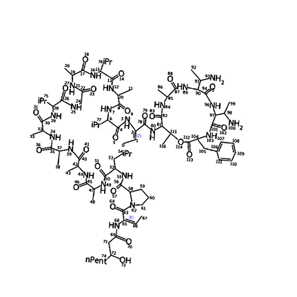 C/C=C(\NC(=O)C(NC(=O)C(C)NC(=O)C(NC(=O)C(C)NC(=O)CNC(=O)C(NC(=O)C(C)NC(=O)C(C)NC(=O)C(C)NC(=O)C(C)NC(=O)C(CC(C)C)NC(=O)C1CCCN1C(=O)/C(=C\C)NC(=O)CC(O)CCCCC)C(C)C)C(C)C)C(C)C)C(=O)NC1C(=O)NC(C)C(=O)NC(C(C)N)C(=O)NC(C(C)N)C(=O)NC(Cc2ccccc2)C(=O)OC1C